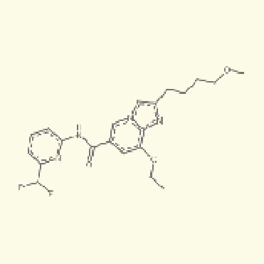 CCOc1cc(C(=O)Nc2cccc(C(F)F)n2)cn2cc(CCCCOC)nc12